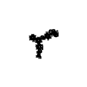 CS(=O)(=O)NC(=O)c1ccc(COc2cc(-c3ccccc3)cc(-c3ccc(OCC4CC4)nc3)c2)cc1